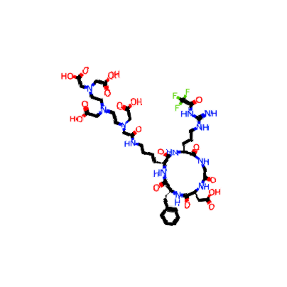 N=C(NCCC[C@@H]1NC(=O)[C@H](CCCCNC(=O)CN(CCN(CCN(CC(=O)O)CC(=O)O)CC(=O)O)CC(=O)O)NC(=O)[C@@H](Cc2ccccc2)NC(=O)[C@H](CC(=O)O)NC(=O)CNC1=O)NC(=O)C(F)(F)F